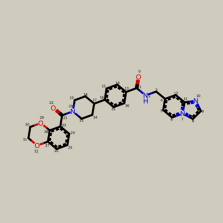 O=C(NCc1ccn2ccnc2c1)c1ccc(C2CCN(C(=O)c3cccc4c3OCCO4)CC2)cc1